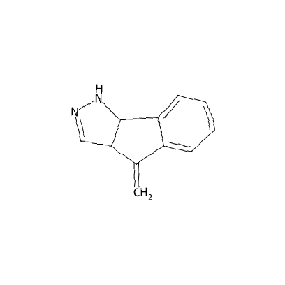 C=C1c2ccccc2C2NN=CC12